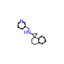 c1cncc(CNC2CC23CCCc2ccccc23)c1